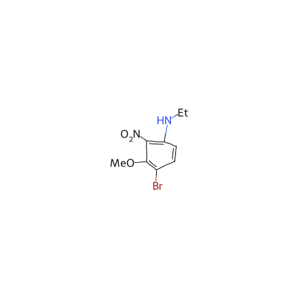 CCNc1ccc(Br)c(OC)c1[N+](=O)[O-]